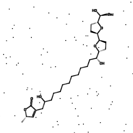 CCCCCCCCCC[C@H](O)[C@H]1CC[C@H]([C@H]2CC[C@H]([C@H](O)CCCCCCCCCCC(O)CC3=C[C@H](C)OC3=O)O2)O1